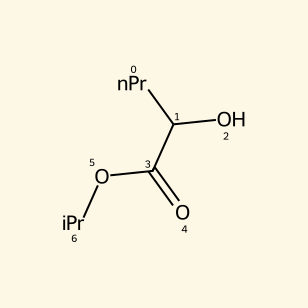 CCCC(O)C(=O)OC(C)C